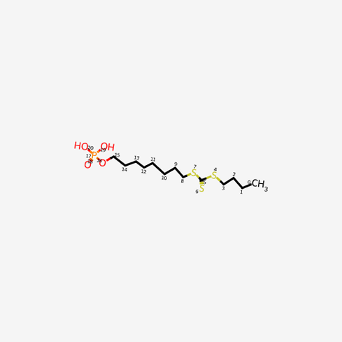 CCCCSC(=S)SCCCCCCCCOP(=O)(O)O